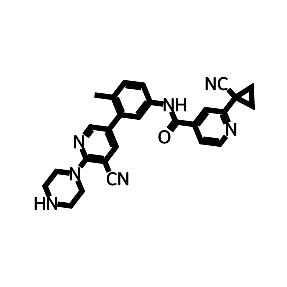 Cc1ccc(NC(=O)c2ccnc(C3(C#N)CC3)c2)cc1-c1cnc(N2CCNCC2)c(C#N)c1